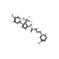 O=C(NCCc1cccc(F)c1)Oc1cnn(-c2ccc(F)cc2)c1C(F)(F)F